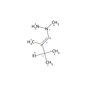 CCC(C)(C)/C(C)=C/N(C)N